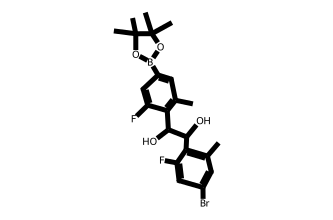 Cc1cc(Br)cc(F)c1C(O)C(O)c1c(C)cc(B2OC(C)(C)C(C)(C)O2)cc1F